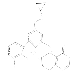 N[C@H]1CCc2nc[nH]c(=O)c2[C@H]1Cc1cc(OSC2CC2)cc(-c2cccc(F)c2F)c1